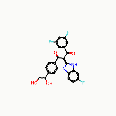 O=C(/C(C(=O)c1cc(F)cc(F)c1)=C1\Nc2ccc(F)cc2N1)c1ccc(C(O)CO)cc1